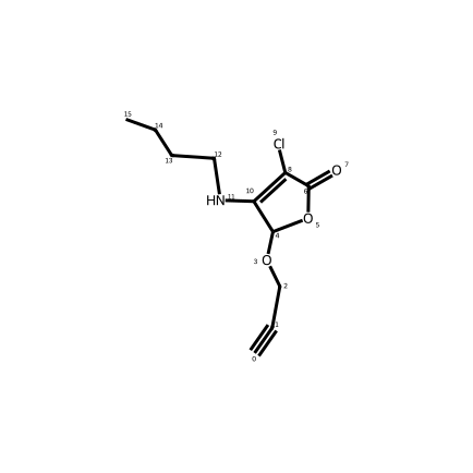 C#CCOC1OC(=O)C(Cl)=C1NCCCC